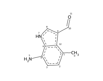 Cc1ccc(N)c2[nH]cc(C=O)c12